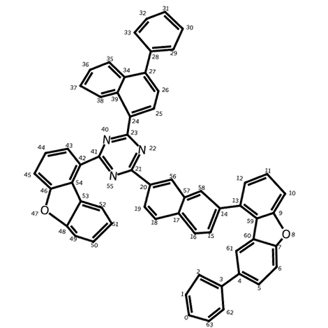 c1ccc(-c2ccc3oc4cccc(-c5ccc6ccc(-c7nc(-c8ccc(-c9ccccc9)c9ccccc89)nc(-c8cccc9oc%10ccccc%10c89)n7)cc6c5)c4c3c2)cc1